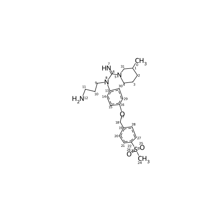 CC1CCCN(C(=N)N(CCCN)c2ccc(OCc3ccc(S(C)(=O)=O)cc3)cc2)C1